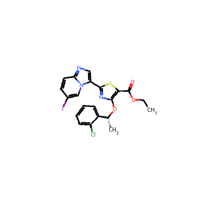 CCOC(=O)c1sc(-c2cnc3ccc(I)cn23)nc1O[C@H](C)c1ccccc1Cl